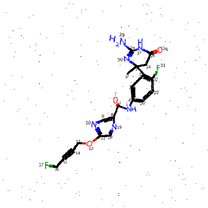 CC1(c2cc(NC(=O)c3cnc(OCC#CCF)cn3)ccc2F)CC(=O)NC(N)=N1